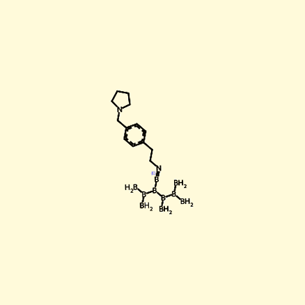 BB(B)B(B)B(/B=N/CCc1ccc(CN2CCCC2)cc1)B(B)B